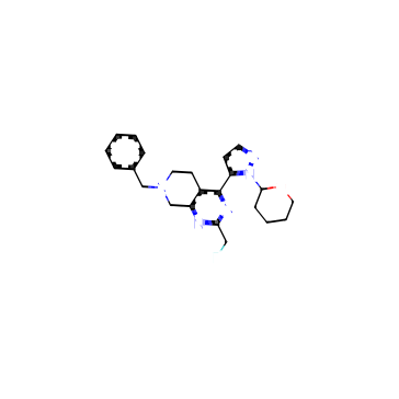 FCc1nc2c(c(-c3ccnn3C3CCCCO3)n1)CCN(Cc1ccccc1)C2